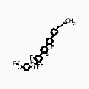 CCCCCc1ccc(-c2ccc(-c3ccc(-c4cc(F)c(C(F)(F)Oc5ccc(OC(F)F)cc5)c(F)c4)c(F)c3)c(F)c2)cc1